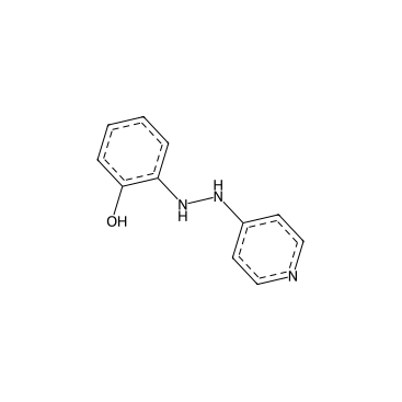 Oc1ccccc1NNc1ccncc1